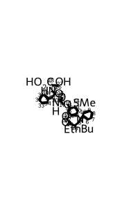 CCCCC1(CC)CN(c2ccccc2)c2cc(SC)c(OCC(=O)N[C@@H](C(=O)N[C@@H](CO)C(=O)O)c3ccccc3)cc2S(=O)(=O)C1